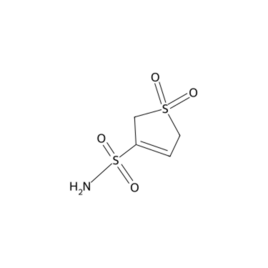 NS(=O)(=O)C1=CCS(=O)(=O)C1